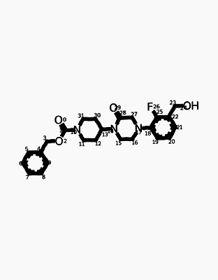 O=C(OCc1ccccc1)N1CCC(N2CCN(c3cccc(CO)c3F)CC2=O)CC1